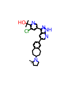 C[C@@H]1CCCN1C1CCc2ccc(-c3cnc4[nH]nc(-c5cnc(C(C)(C)O)c(Cl)c5)c4c3)cc2CC1